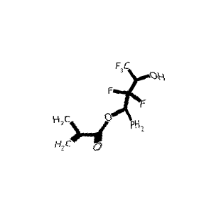 C=C(C)C(=O)OC(P)C(F)(F)C(O)C(F)(F)F